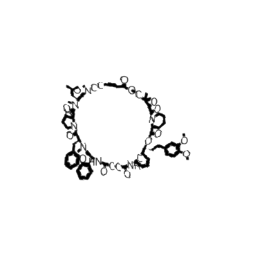 COc1ccc(CC[C@H]2OC(=O)C3CCCCN3C(=O)C(=O)C(C)(C)COC(=O)/C=C/CCN(C)C(=O)[C@H](CC(C)C)N(C)C(=O)[C@H]3CCCN3C(=O)[C@H](Cc3ccccc3)N(C)C(=O)[C@H](c3ccccc3)NC(=O)CCC(=O)Nc3cccc2c3)cc1OC